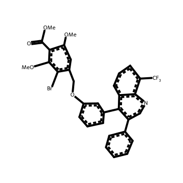 COC(=O)c1c(OC)cc(COc2cccc(-c3c(-c4ccccc4)cnc4c(C(F)(F)F)cccc34)c2)c(Br)c1OC